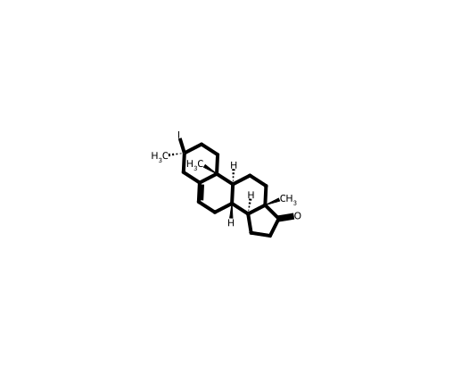 C[C@]1(I)CC[C@@]2(C)C(=CC[C@@H]3[C@@H]2CC[C@]2(C)C(=O)CC[C@@H]32)C1